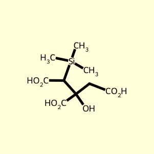 C[Si](C)(C)C(C(=O)O)C(O)(CC(=O)O)C(=O)O